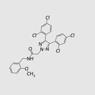 COc1ccccc1CNC(=O)Cn1nc(-c2ccc(Cl)cc2Cl)c(-c2ccc(Cl)cc2Cl)n1